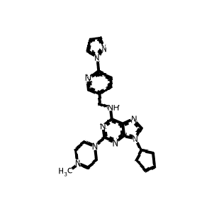 CN1CCN(c2nc(NCc3ccc(-n4cccn4)nc3)c3ncn(C4CCCC4)c3n2)CC1